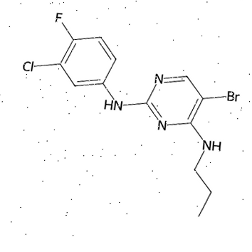 CCCNc1nc(Nc2ccc(F)c(Cl)c2)ncc1Br